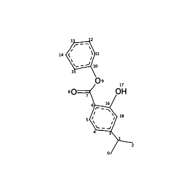 CC(C)c1ccc(C(=O)Oc2ccccc2)c(O)c1